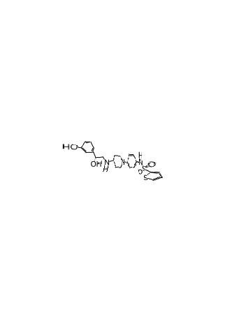 O=S(=O)(Nc1ccc(N2CCC(NC[C@H](O)c3cccc(O)c3)CC2)cc1)c1cccs1